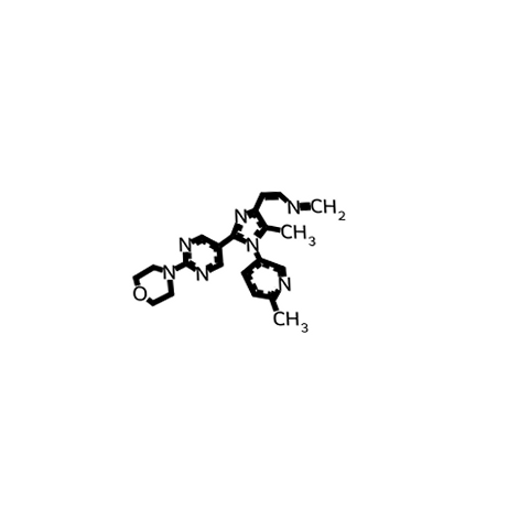 C=N/C=C\c1nc(-c2cnc(N3CCOCC3)nc2)n(-c2ccc(C)nc2)c1C